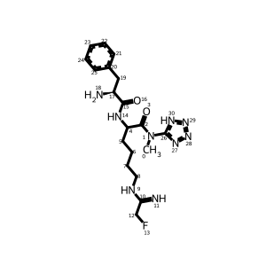 CN(C(=O)C(CCCCNC(=N)CF)NC(=O)[C@@H](N)Cc1ccccc1)c1nnn[nH]1